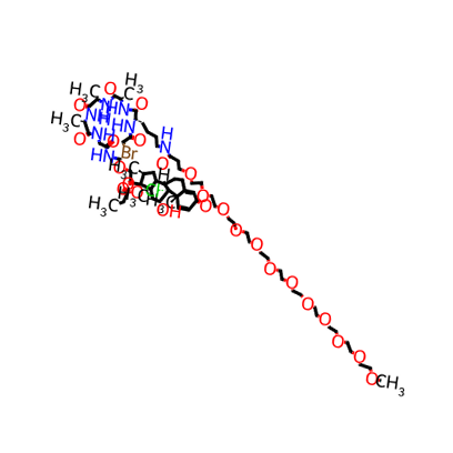 CCC(=O)O[C@]1(C(=O)COCNC(=O)CNC(=O)[C@H](C)NC(=O)[C@H](C)NC(=O)[C@H](C)NC(=O)[C@H](CCCCNC(=O)CCOCCOCCOCCOCCOCCOCCOCCOCCOCCOCCOCCOC)NC(=O)CBr)[C@@H](C)CC2[C@@H]3CCC4=CC(=O)C=C[C@]4(C)[C@@]3(Cl)[C@@H](O)C[C@@]21C